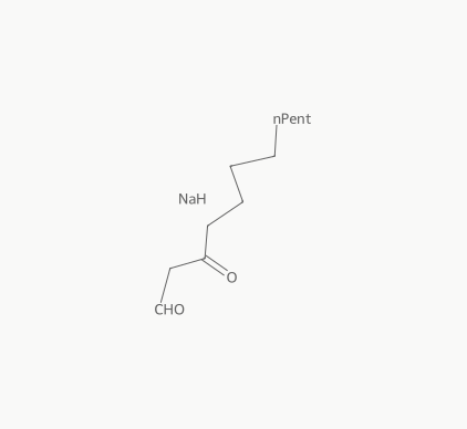 CCCCCCCCCC(=O)CC=O.[NaH]